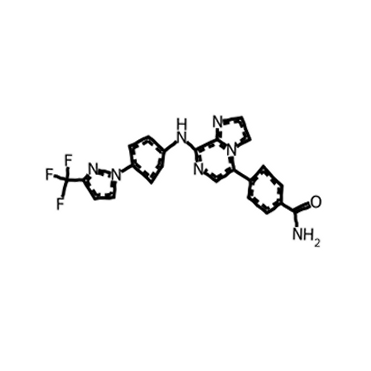 NC(=O)c1ccc(-c2cnc(Nc3ccc(-n4ccc(C(F)(F)F)n4)cc3)c3nccn23)cc1